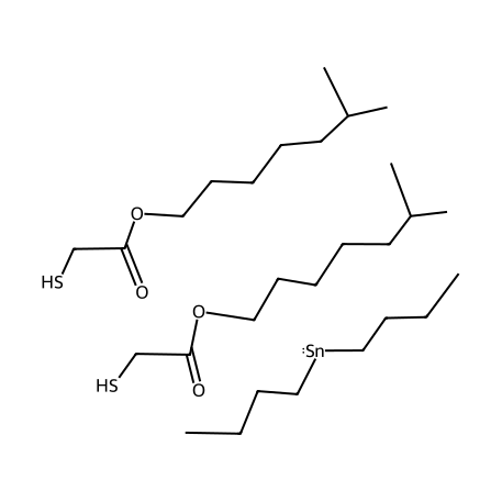 CC(C)CCCCCOC(=O)CS.CC(C)CCCCCOC(=O)CS.CCC[CH2][Sn][CH2]CCC